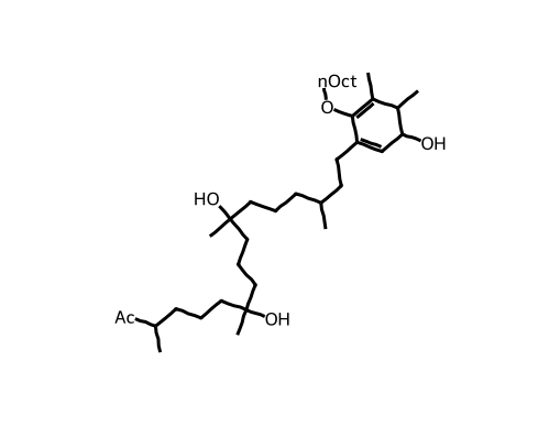 CCCCCCCCOC1=C(C)C(C)C(O)C=C1CCC(C)CCCC(C)(O)CCCC(C)(O)CCCC(C)C(C)=O